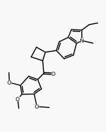 CCc1cc2cc(C3CCC3C(=O)c3cc(OC)c(OC)c(OC)c3)ccc2n1C